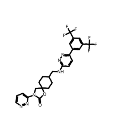 O=C1OC2(CCC(CNc3ccc(-c4cc(C(F)(F)F)cc(C(F)(F)F)c4)nn3)CC2)CN1c1cccnn1